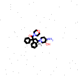 CC(CC(C(=O)N1CCOCC1)(c1ccccc1)c1ccccc1)N1CC[C@@H](N)[C@H](O)C1